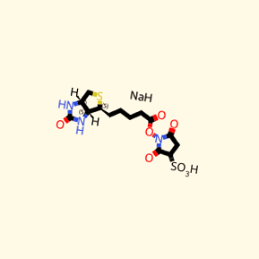 O=C1N[C@H]2[C@H](CS[C@H]2CCCCC(=O)ON2C(=O)CC(S(=O)(=O)O)C2=O)N1.[NaH]